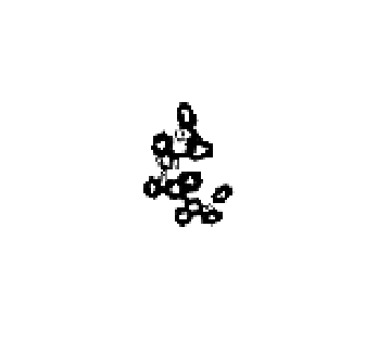 c1ccc(-n2c3c(c4ccccc42)-c2ccccc2C(c2cc4c5ccccc5n(-c5nc(-c6cccc7c6oc6ccccc67)c6ccccc6n5)c4c4ccccc24)C3)cc1